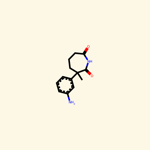 CC1(c2cccc(N)c2)CCCC(=O)NC1=O